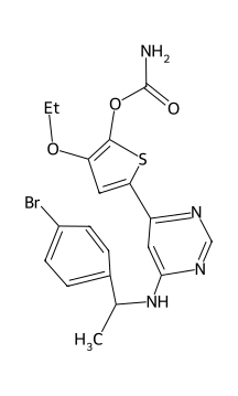 CCOc1cc(-c2cc(NC(C)c3ccc(Br)cc3)ncn2)sc1OC(N)=O